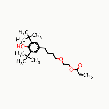 C=CC(=O)OCCOCCCCc1cc(C(C)(C)C)c(O)c(C(C)(C)C)c1